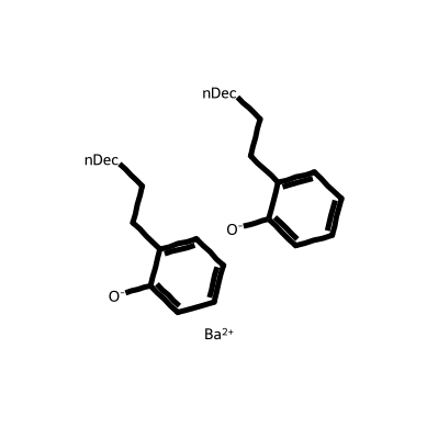 CCCCCCCCCCCCc1ccccc1[O-].CCCCCCCCCCCCc1ccccc1[O-].[Ba+2]